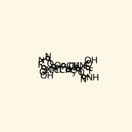 Cc1c(COc2cc(OCc3cncc(C#N)c3)c(CNC(CC(=O)O)c3ccc(F)cc3)cc2Cl)cccc1-c1cccc(COc2cc(OCc3cncc(C=N)c3)c(CNC(CC(=O)O)c3ccc(F)cc3)cc2Cl)c1C